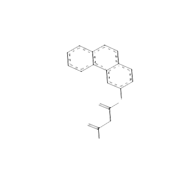 O=C(O)CC(=O)Oc1ccc2ccc3ccccc3c2c1